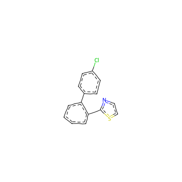 Clc1ccc(-c2ccccc2-c2nccs2)cc1